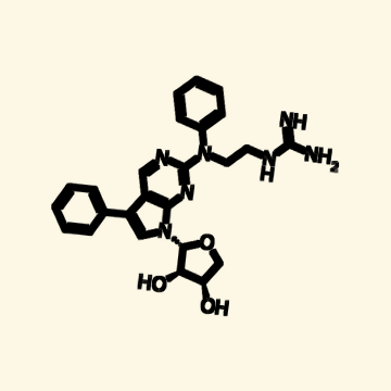 N=C(N)NCCN(c1ccccc1)c1ncc2c(-c3ccccc3)cn([C@@H]3OC[C@@H](O)[C@H]3O)c2n1